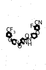 N#Cc1ccc(O[C@H]2CC[C@@H](NC(=O)c3ccc(C(=O)N4CCC(Oc5ccc(C(F)(F)F)cc5)CC4)cn3)CC2)cc1F